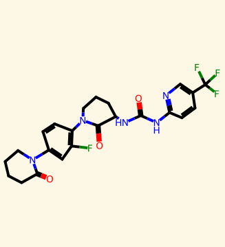 O=C(Nc1ccc(C(F)(F)F)cn1)NC1CCCN(c2ccc(N3CCCCC3=O)cc2F)C1=O